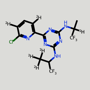 [2H]c1cc([2H])c(-c2nc(NC(C([2H])([2H])[2H])C(F)(F)F)nc(NC([2H])(C)C(F)(F)F)n2)nc1Cl